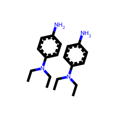 CCN(CC)c1ccc(N)cc1.CCN(CC)c1ccc(N)cc1